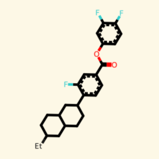 CCC1CCC2CC(c3ccc(C(=O)Oc4ccc(F)c(F)c4)cc3F)CCC2C1